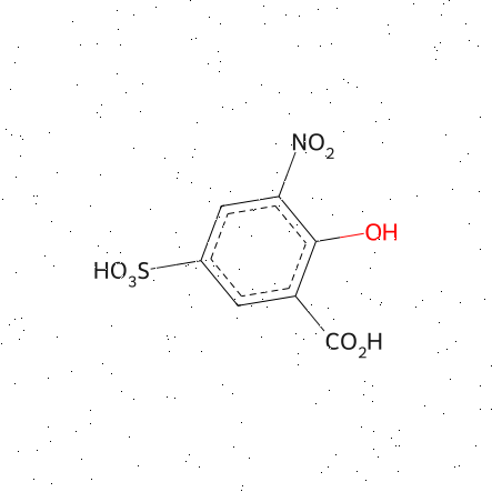 O=C(O)c1cc(S(=O)(=O)O)cc([N+](=O)[O-])c1O